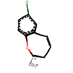 O=C(O)[C@H]1CC=Cc2cc(Cl)ccc2O1